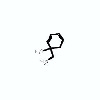 NCC1([SiH3])C=CC=CC1